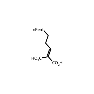 CCCCCCCC=C(C(=O)O)C(=O)O